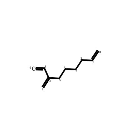 C=CCCCCC(=C)C=O